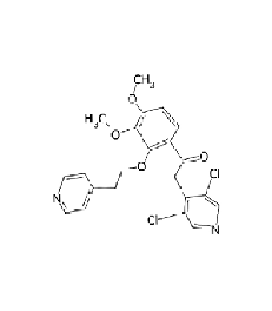 COc1ccc(C(=O)Cc2c(Cl)cncc2Cl)c(OCCc2ccncc2)c1OC